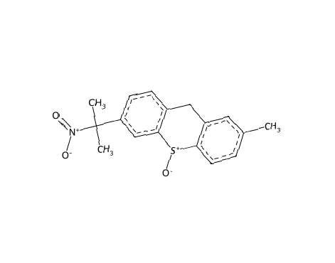 Cc1ccc2c(c1)Cc1ccc(C(C)(C)[N+](=O)[O-])cc1[S+]2[O-]